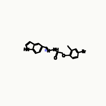 Cc1cc(Br)ccc1OCC(=O)N/N=C/c1ccc2[nH]ccc2c1